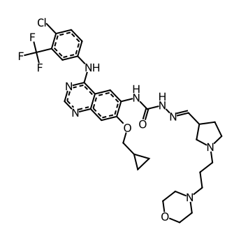 O=C(N/N=C/C1CCN(CCCN2CCOCC2)C1)Nc1cc2c(Nc3ccc(Cl)c(C(F)(F)F)c3)ncnc2cc1OCC1CC1